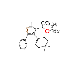 Cc1sc(-c2ccccc2)c(C2=CCC(C)(C)CC2)c1C(OC(C)(C)C)C(=O)O